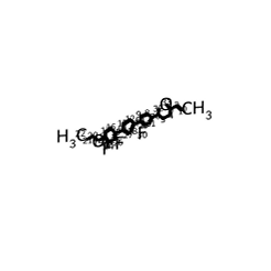 C/C=C/C1CCC(c2ccc(-c3ccc(-c4ccc(OCCC)c(F)c4F)cc3)c(F)c2)CO1